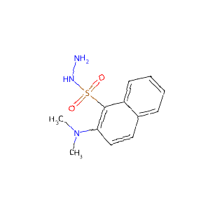 CN(C)c1ccc2ccccc2c1S(=O)(=O)NN